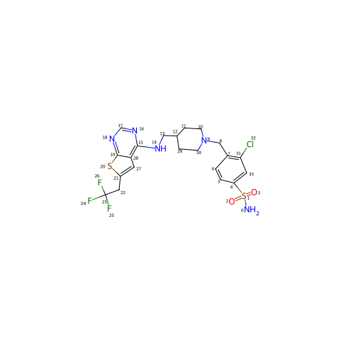 NS(=O)(=O)c1ccc(CN2CCC(CNc3ncnc4sc(CC(F)(F)F)cc34)CC2)c(Cl)c1